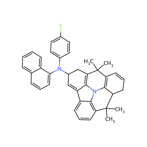 CC1(C)C2=C3C(CC=C2)C(C)(C)c2cccc4c5c(n3c24)=C1CC(N(c1ccc(F)cc1)c1cccc2ccccc12)C=5